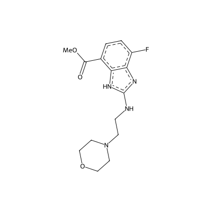 COC(=O)c1ccc(F)c2nc(NCCN3CCOCC3)[nH]c12